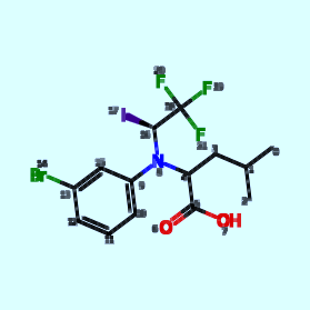 CC(C)CC(C(=O)O)N(c1cccc(Br)c1)[C@@H](I)C(F)(F)F